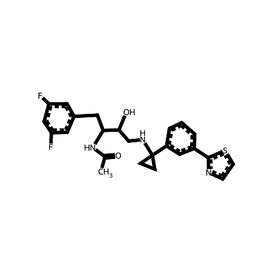 CC(=O)NC(Cc1cc(F)cc(F)c1)C(O)CNC1(c2cccc(-c3nccs3)c2)CC1